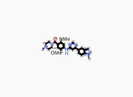 CNc1cc(Nc2cc(-c3ccc4c(cnn4C)c3)ncn2)c(OC)cc1C(=O)N1CCN(C)CC1